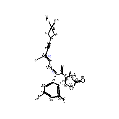 C=C(/C=N\C=C(/C)C#CC1CC(F)(F)C1)[C@H]1NC(=O)O[C@@H]1c1ccc(F)cc1F